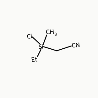 CC[Si](C)(Cl)CC#N